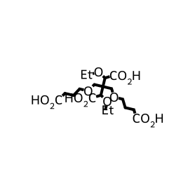 CCOC(C(=O)O)C(COCCCC(=O)O)(COCCCC(=O)O)C(OCC)C(=O)O